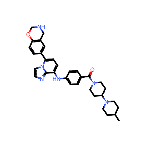 CC1CCN(C2CCN(C(=O)c3ccc(Nc4ccc(-c5ccc6c(c5)CNCO6)n5ccnc45)cc3)CC2)CC1